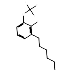 CCCCCCc1cccc(OC(F)(F)F)c1F